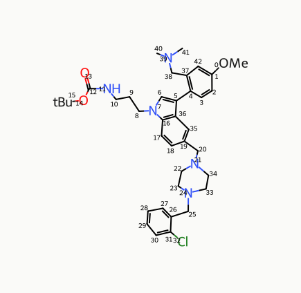 COc1ccc(-c2cn(CCCNC(=O)OC(C)(C)C)c3ccc(CN4CCN(Cc5ccccc5Cl)CC4)cc23)c(CN(C)C)c1